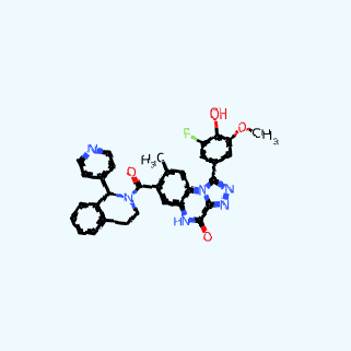 COc1cc(-c2nnc3c(=O)[nH]c4cc(C(=O)N5CCc6ccccc6C5c5ccncc5)c(C)cc4n23)cc(F)c1O